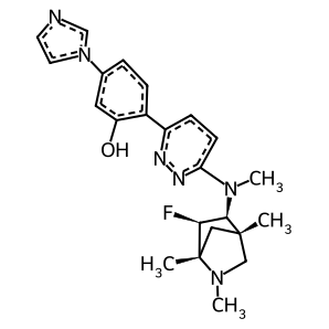 CN(c1ccc(-c2ccc(-n3ccnc3)cc2O)nn1)[C@@H]1[C@H](F)[C@]2(C)C[C@@]1(C)CN2C